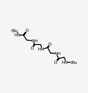 CC(C)(C)NCC(=O)NCC(=O)NCC(=O)NCC(=O)NC(C)(C)C